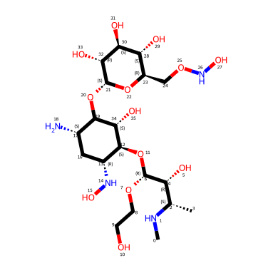 CN[C@@H](C)[C@@H](O)[C@H](OCCO)O[C@H]1[C@H](NO)C[C@H](N)C(O[C@H]2O[C@H](CONO)[C@@H](O)[C@H](O)[C@H]2O)[C@@H]1O